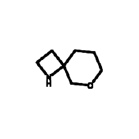 C1COCC2(C1)CCN2